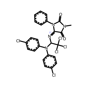 CN1C(=O)/C(=N\C(N(c2ccc(Cl)cc2)c2ccc(Cl)cc2)C(Cl)(Cl)Cl)N(c2ccccc2)C1=O